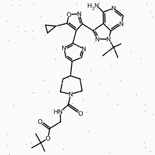 CC(C)(C)OC(=O)CNC(=O)N1CCC(c2cnc(-c3c(-c4nn(C(C)(C)C)c5ncnc(N)c45)noc3C3CC3)nc2)CC1